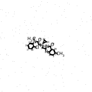 Cc1ccc2nc(CN(CC(=O)N(C)c3ccccc3Cl)C3CC3)[nH]c(=O)c2c1